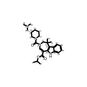 CC(C)OC(=O)C1=CN(C(=O)N2CCC[C@@H](CN(C)C)C2)CC(C)(C)c2c1[nH]c1ccccc21